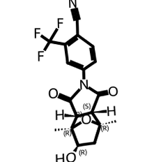 C[C@]12O[C@](C)(C[C@H]1O)[C@H]1C(=O)N(c3ccc(C#N)c(C(F)(F)F)c3)C(=O)[C@H]12